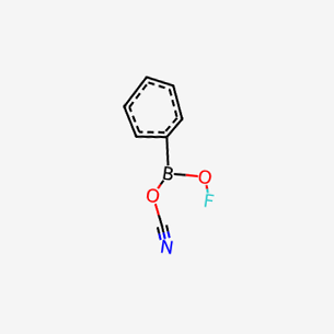 N#COB(OF)c1ccccc1